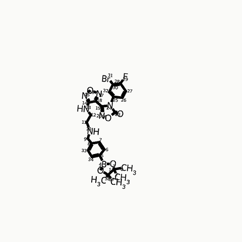 CC1(C)OB(c2ccc(CNCCNc3nonc3-c3noc(=O)n3-c3ccc(F)c(Br)c3)cc2)OC1(C)C